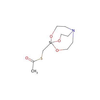 CC(=O)SC[Si]12OCCN(CCO1)CCO2